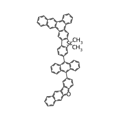 C[Si]1(C)c2cc(-c3c4ccccc4c(-c4ccc5oc6cc7ccccc7cc6c5c4)c4ccccc34)ccc2-c2cc3c(cc21)c1ccccc1c1cc2ccccc2cc31